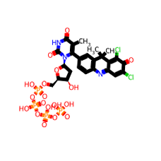 Cc1c(-c2ccc3c(c2)C(C)(C)C2=C(Cl)C(=O)C(Cl)=CC2=N3)n([C@H]2C[C@H](O)[C@@H](COP(=O)(O)OP(=O)(O)OP(=O)(O)OP(=O)(O)O)O2)c(=O)[nH]c1=O